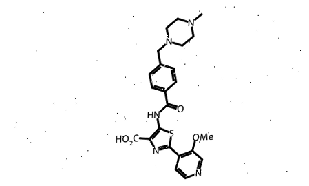 COc1cnccc1-c1nc(C(=O)O)c(NC(=O)c2ccc(CN3CCN(C)CC3)cc2)s1